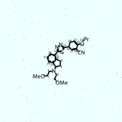 COCCN(CCOC)C1CCc2c(-c3nnc(C4C=C(C#N)C(OC(C)C)=CC4)s3)cccc21